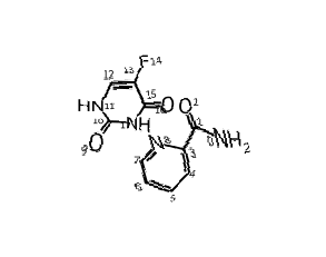 NC(=O)c1ccccn1.O=c1[nH]cc(F)c(=O)[nH]1